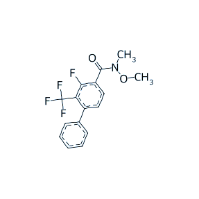 CON(C)C(=O)c1ccc(-c2ccccc2)c(C(F)(F)F)c1F